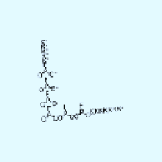 [K+].[K+].[K+].[K+].[K+].[K+].[K+].[K+].[K+].[K+].[K+].[K+].[O-]P([O-])F.[O-]P([O-])F.[O-]P([O-])F.[O-]P([O-])F.[O-]P([O-])F.[O-]P([O-])F